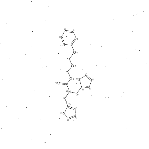 O=C(OCOCOc1ccccn1)N(Cc1cccs1)Cc1cccs1